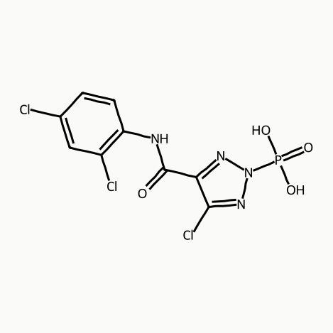 O=C(Nc1ccc(Cl)cc1Cl)c1nn(P(=O)(O)O)nc1Cl